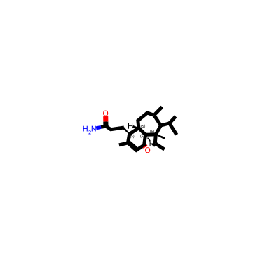 CC1=CC(=O)[C@H]2[C@@H](CCC(C)C(C(C)C)[C@]2(C)C(C)C)[C@@H]1CCC(N)=O